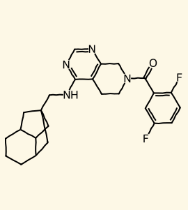 O=C(c1cc(F)ccc1F)N1CCc2c(ncnc2NCC23CC4CCCC(C2)C4C3)C1